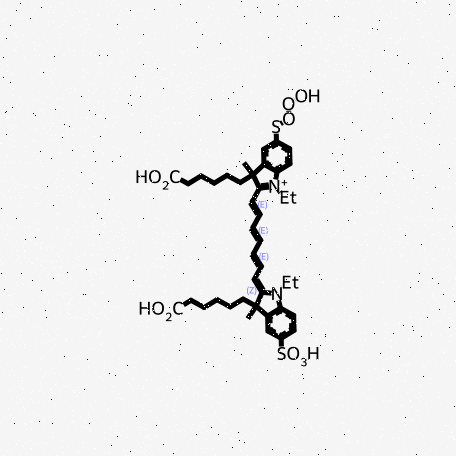 CCN1\C(=C/C=C/C=C/C=C/C2=[N+](CC)c3ccc(SOOO)cc3C2(C)CCCCCC(=O)O)C(C)(CCCCCC(=O)O)c2cc(S(=O)(=O)O)ccc21